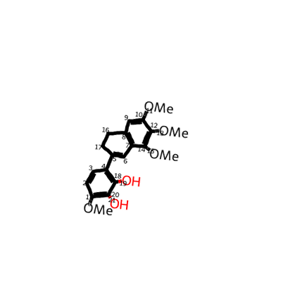 COc1ccc(C2=Cc3c(cc(OC)c(OC)c3OC)CC2)c(O)c1O